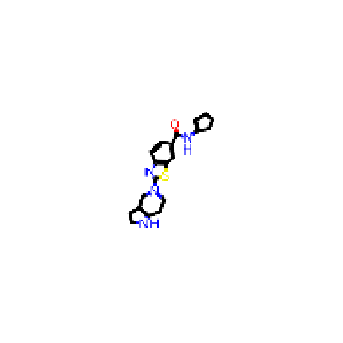 O=C(NC1CCCC1)c1ccc2nc(N3CCC4NCCC4C3)sc2c1